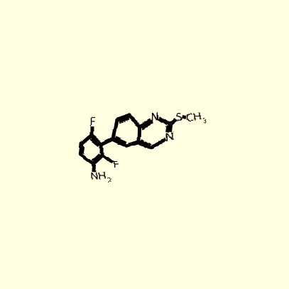 CSc1ncc2cc(-c3c(F)ccc(N)c3F)ccc2n1